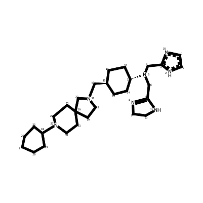 c1c[nH]c(CN(CC2=NCCN2)[C@H]2CC[C@H](CN3CCC4(CCN(C5CCCCC5)CC4)C3)CC2)n1